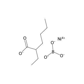 CCCCC(CC)C(=O)[O-].[Ni+4].[O-]B([O-])[O-]